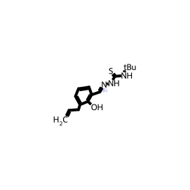 C=CCc1cccc(/C=N/NC(=S)NC(C)(C)C)c1O